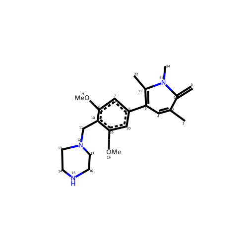 C=C1C(C)=CC(c2cc(OC)c(CN3CCNCC3)c(OC)c2)=C(C)N1C